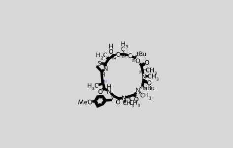 C=C1C2=N[C@@H](/C=C(\C)C(=O)N[C@@H](Cc3ccc(OC)cc3)C(=O)N(C)[C@@H](C)C(=O)N(C)[C@@H]([C@@H](C)CC)C(=O)N(C)[C@@H](C)C(=O)O[C@H](C(C)(C)C)C[C@@H](C)C[C@@H]1O)CS2